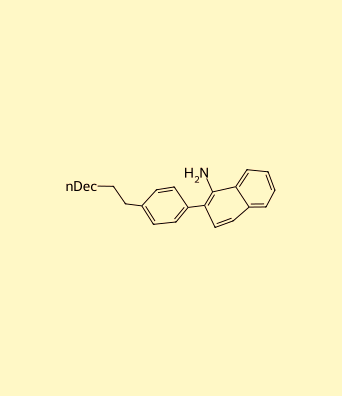 CCCCCCCCCCCCc1ccc(-c2ccc3ccccc3c2N)cc1